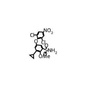 COc1c(C2CC2)cc(Oc2c(Cl)cc([N+](=O)[O-])cc2Cl)cc1S(N)(=O)=O